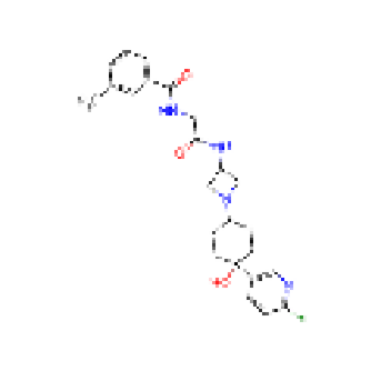 O=C(CNC(=O)c1cccc(C(F)(F)F)c1)NC1CN(C2CCC(O)(c3ccc(F)nc3)CC2)C1